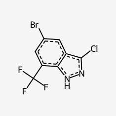 FC(F)(F)c1cc(Br)cc2c(Cl)n[nH]c12